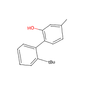 Cc1ccc(-c2ccccc2C(C)(C)C)c(O)c1